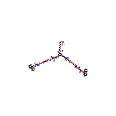 COC(=O)CCCCCNC(=O)c1cc(OCCCNC(=O)CCOCCOCCOCCOCCNC(=O)OCC2c3ccccc3-c3ccccc32)cc(OCCCNC(=O)CCOCCOCCOCCOCCNC(=O)OCC2c3ccccc3-c3ccccc32)c1